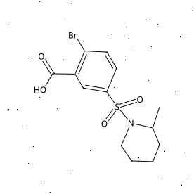 CC1CCCCN1S(=O)(=O)c1ccc(Br)c(C(=O)O)c1